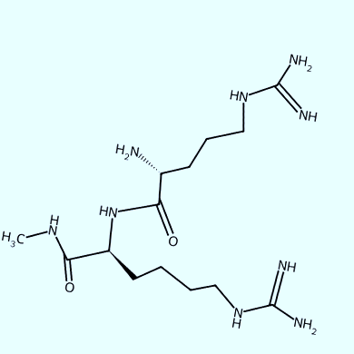 CNC(=O)[C@H](CCCCNC(=N)N)NC(=O)[C@H](N)CCCNC(=N)N